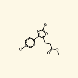 COC(=O)CCc1oc(Br)nc1-c1ccc(Cl)cc1